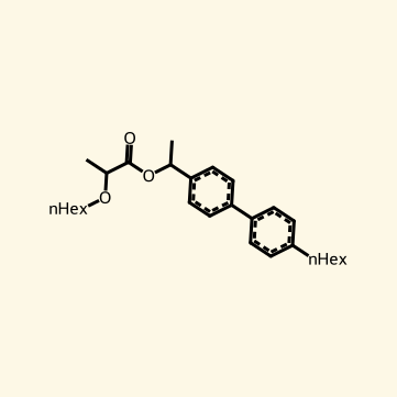 CCCCCCOC(C)C(=O)OC(C)c1ccc(-c2ccc(CCCCCC)cc2)cc1